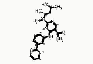 CC(C)C[C@@H](C)N(N)c1ncc(C(N)=O)c(Nc2cccc(-c3ncccn3)c2)n1